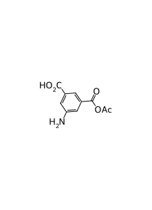 CC(=O)OC(=O)c1cc(N)cc(C(=O)O)c1